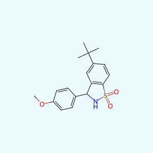 COc1ccc(C2NS(=O)(=O)c3ccc(C(C)(C)C)cc32)cc1